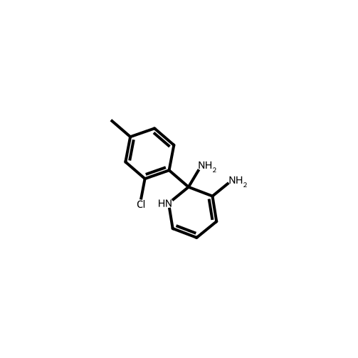 Cc1ccc(C2(N)NC=CC=C2N)c(Cl)c1